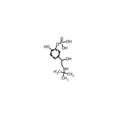 CC(C)(C)NCC(O)c1ccc(O)c(OP(=O)(O)O)c1